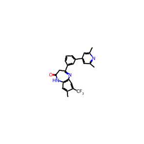 Cc1cc(-c2cccc(C3=Nc4cc(C(F)(F)F)c(C)cc4NC(=O)C3)c2)cc(C)n1